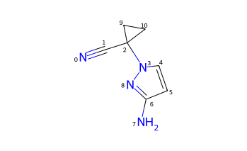 N#CC1(n2ccc(N)n2)CC1